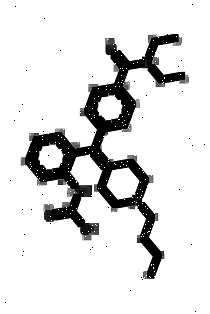 CCCCN1CCC(=C(c2ccc(C(=O)N(CC)CC)cc2)c2ccccc2NC(=O)O)CC1